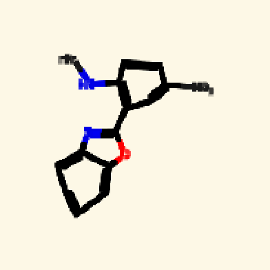 CCCNc1ccc([N+](=O)[O-])cc1-c1nc2ccccc2o1